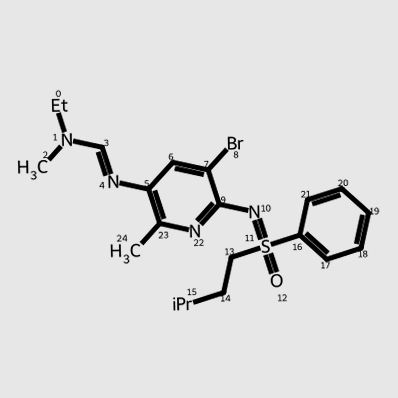 CCN(C)C=Nc1cc(Br)c(N=S(=O)(CCC(C)C)c2ccccc2)nc1C